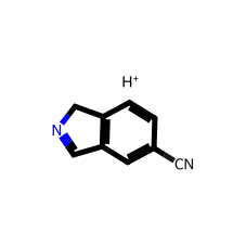 N#Cc1ccc2c(c1)C=NC2.[H+]